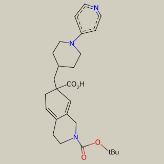 CC(C)(C)OC(=O)N1CCC2=CCC(CC3CCN(c4ccncc4)CC3)(C(=O)O)C=C2C1